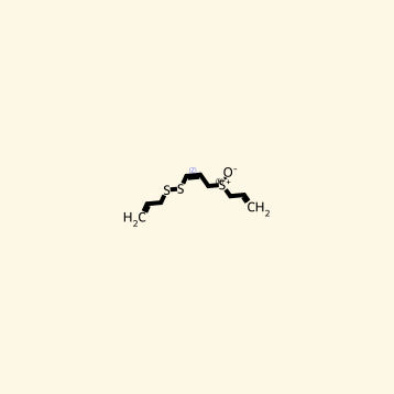 C=CCSS/C=C\C[S@@+]([O-])CC=C